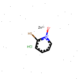 Cl.[O-][n+]1ccccc1S.[Zn+2]